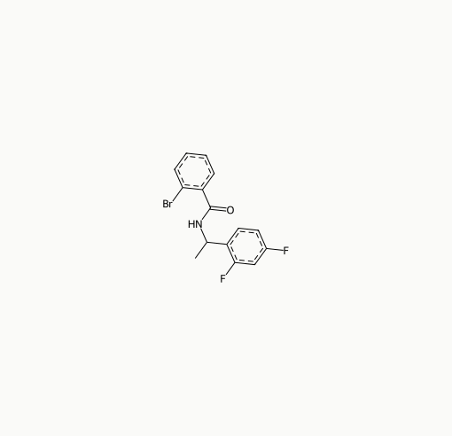 CC(NC(=O)c1ccccc1Br)c1ccc(F)cc1F